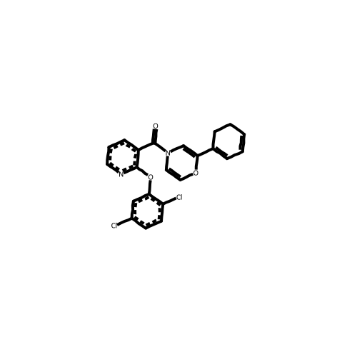 O=C(c1cccnc1Oc1cc(Cl)ccc1Cl)N1C=COC(C2=CC=CCC2)=C1